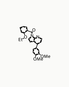 CCOc1ccccc1C(=O)n1ccc2c(-c3ccc(OC)c(OC)c3)ccnc21